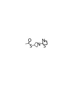 CC(=O)SC1CN(c2nccs2)C1